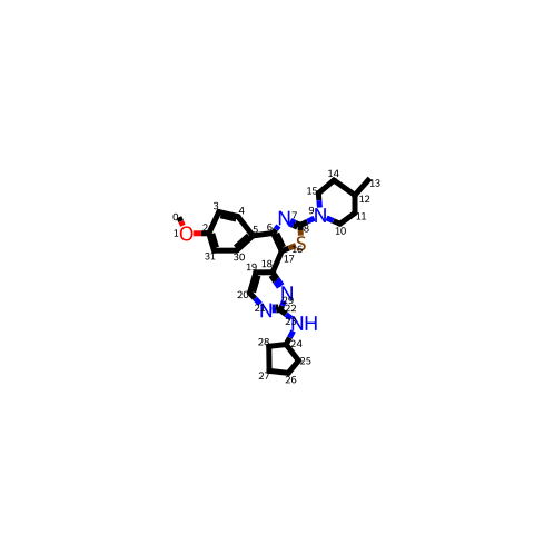 COc1ccc(-c2nc(N3CCC(C)CC3)sc2-c2ccnc(NC3CCCC3)n2)cc1